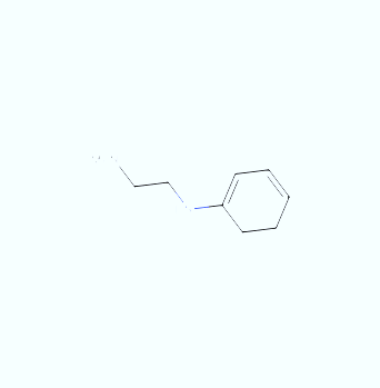 CNCCNC1=CC=CCC1